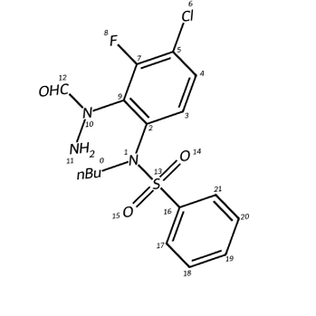 CCCCN(c1ccc(Cl)c(F)c1N(N)C=O)S(=O)(=O)c1ccccc1